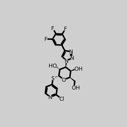 OC[C@H]1O[C@H](Sc2ccnc(Cl)c2)[C@H](O)[C@@H](n2cc(-c3cc(F)c(F)c(F)c3)nn2)[C@H]1O